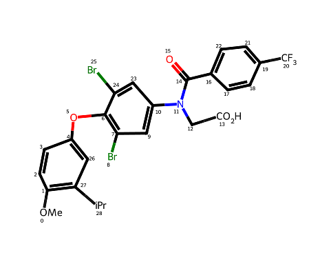 COc1ccc(Oc2c(Br)cc(N(CC(=O)O)C(=O)c3ccc(C(F)(F)F)cc3)cc2Br)cc1C(C)C